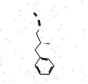 [N-]=[N+]=NC[C@@H](N)Cc1ccccc1